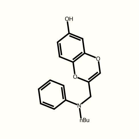 CCCCN(CC1=COc2cc(O)ccc2O1)c1ccccc1